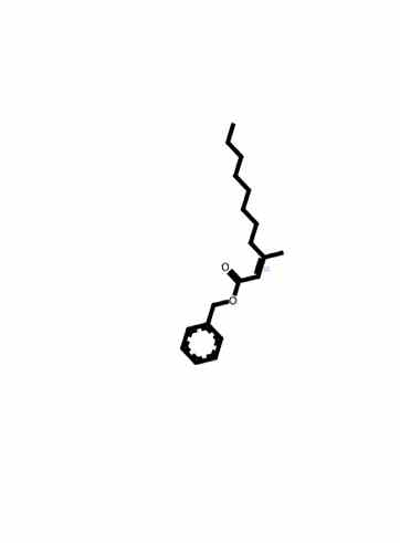 CCCCCCCC/C(C)=C\C(=O)OCc1ccccc1